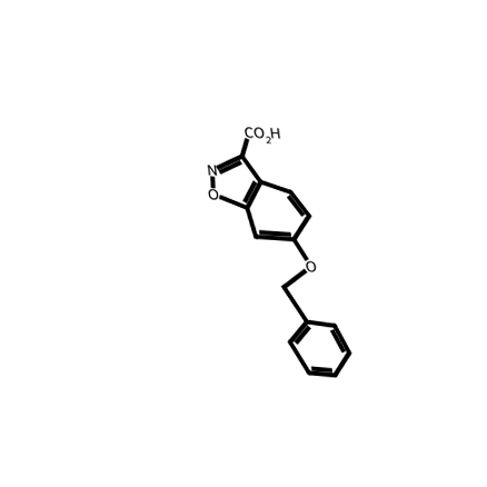 O=C(O)c1noc2cc(OCc3ccccc3)ccc12